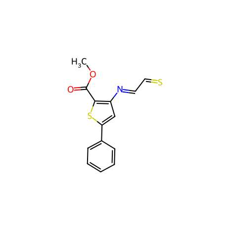 COC(=O)c1sc(-c2ccccc2)cc1N=CC=S